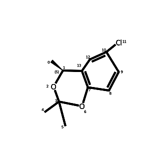 C[C@@H]1OC(C)(C)Oc2ccc(Cl)cc21